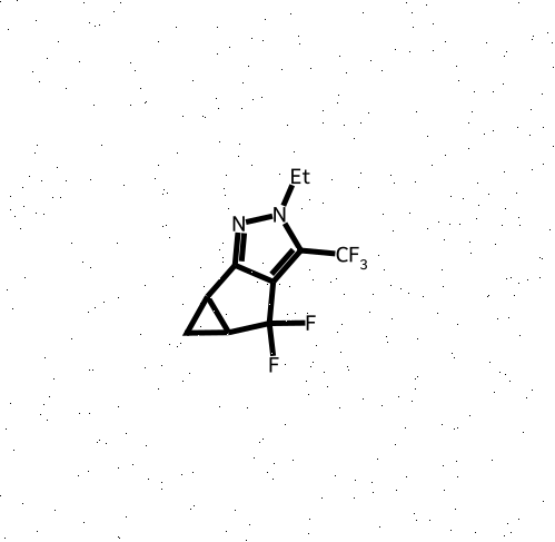 CCn1nc2c(c1C(F)(F)F)C(F)(F)C1CC21